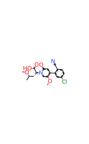 COc1cn([C@H](CC(C)OC)C(=O)O)c(=O)cc1-c1cc(Cl)ccc1C#N